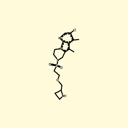 Cc1c(Cl)cnc2c1c(C)c1n2CCN(S(=O)(=O)CCOCC2CCN2)C1